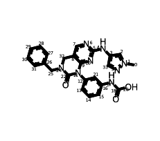 Cn1cc(Nc2ncc3c(n2)N(c2cccc(NC(=O)O)c2)C(=O)N(Cc2ccccc2)C3)cn1